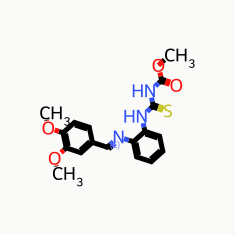 COC(=O)NC(=S)Nc1ccccc1/N=C/c1ccc(OC)c(OC)c1